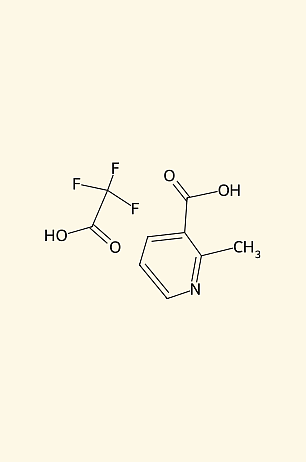 Cc1ncccc1C(=O)O.O=C(O)C(F)(F)F